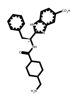 NCC1CCC(C(=O)N[C@@H](Cc2ccccc2)c2nc3cc(C(=O)O)ccc3[nH]2)CC1